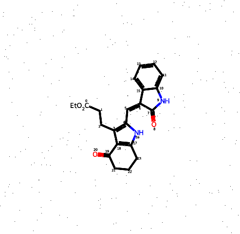 CCOC(=O)CCc1c(C=C2C(=O)Nc3ccccc32)[nH]c2c1C(=O)CCC2